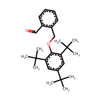 CC(C)(C)c1cc(C(C)(C)C)c(OCc2ccccc2C=O)c(C(C)(C)C)c1